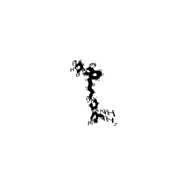 N=C(N)C1CNCCC1NC1CCN(C(=O)CCCCC2=CC=CC3C(=O)N(C4CCC(=O)NC4=O)CC23)CC1